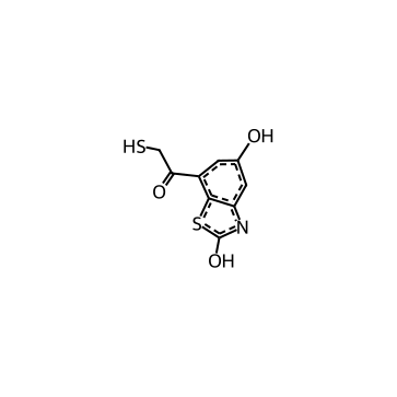 O=C(CS)c1cc(O)cc2nc(O)sc12